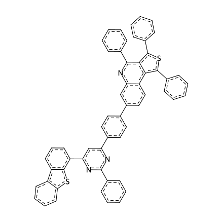 c1ccc(-c2nc(-c3ccc(-c4ccc5c(c4)nc(-c4ccccc4)c4c(-c6ccccc6)sc(-c6ccccc6)c45)cc3)cc(-c3cccc4c3sc3ccccc34)n2)cc1